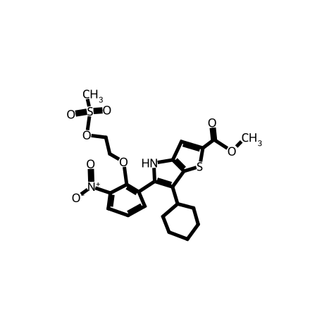 COC(=O)c1cc2[nH]c(-c3cccc([N+](=O)[O-])c3OCCOS(C)(=O)=O)c(C3CCCCC3)c2s1